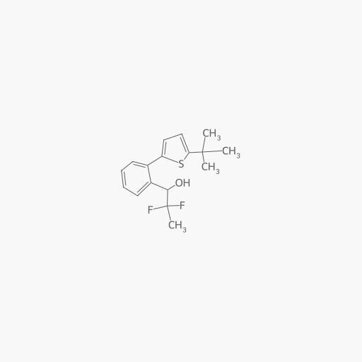 CC(C)(C)c1ccc(-c2ccccc2C(O)C(C)(F)F)s1